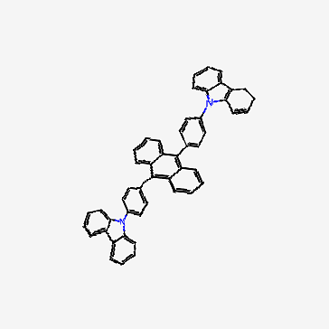 C1=Cc2c(c3ccccc3n2-c2ccc(-c3c4ccccc4c(-c4ccc(-n5c6ccccc6c6ccccc65)cc4)c4ccccc34)cc2)CC1